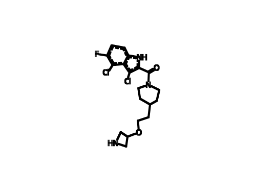 O=C(c1[nH]c2ccc(F)c(Cl)c2c1Cl)N1CCC(CCOC2CNC2)CC1